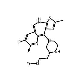 CCOCCC1CN(C2=c3nc(F)c(F)cc3=CNc3sc(C)cc32)CCN1